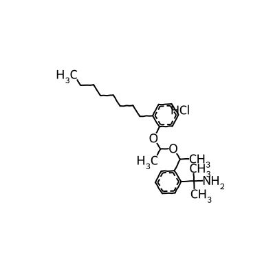 CCCCCCCCc1ccccc1OC(C)OC(C)c1ccccc1C(C)(C)N.Cl